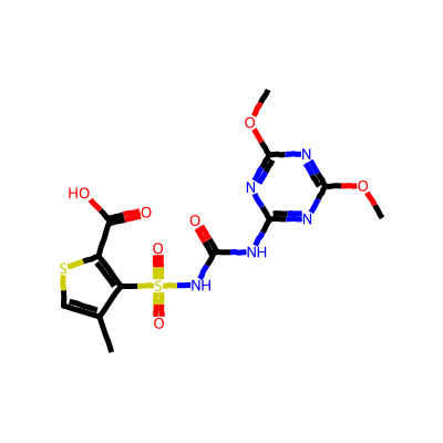 COc1nc(NC(=O)NS(=O)(=O)c2c(C)csc2C(=O)O)nc(OC)n1